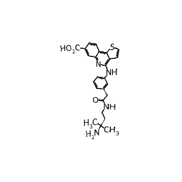 CC(C)(N)CCNC(=O)Cc1cccc(Nc2nc3cc(C(=O)O)ccc3c3sccc23)c1